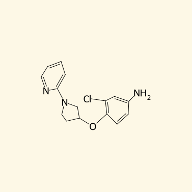 Nc1ccc(OC2CCN(c3ccccn3)C2)c(Cl)c1